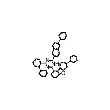 c1ccc(-c2ccc3cc(C4N=C(c5ccccc5-c5ccccc5)N=C(c5cccc6oc7cc(-c8ccccc8)ccc7c56)N4)ccc3c2)cc1